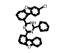 Clc1ccc2c(c1)oc1cccc(C3=NC(c4cccc5oc6ccccc6c45)=NC(c4ccccc4)N3)c12